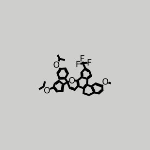 COc1ccc2c(c1)-c1c(c3c(c4cc(C(F)(F)F)ccc14)OC(c1ccc(OC(C)C)cc1)(c1ccc(OC(C)C)cc1)C=C3)CC2